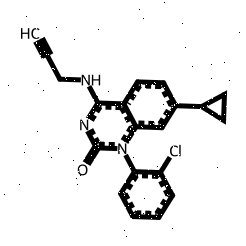 C#CCNc1nc(=O)n(-c2ccccc2Cl)c2cc(C3CC3)ccc12